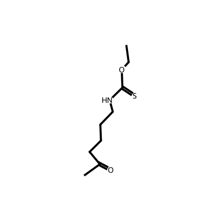 CCOC(=S)NCCCCC(C)=O